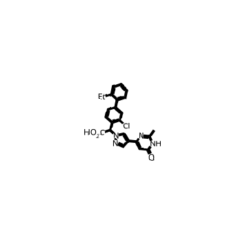 CCc1ccccc1-c1ccc(C(C(=O)O)n2cc(-c3cc(=O)[nH]c(C)n3)cn2)c(Cl)c1